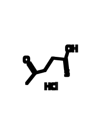 CC(=O)CCC(O)=S.Cl